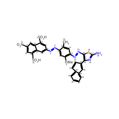 COc1cc(/N=N/c2cc(S(=O)(=O)O)c3cc([N+](=O)[O-])cc(S(=O)(=O)O)c3c2)c(C)cc1/N=N/c1sc(N)nc1-c1ccc2ccccc2c1